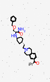 CC(C)C(=O)c1ccc2c(c1)CCN(CC[C@H]1CC[C@H](N[C@@H](COCc3ccccc3)C(N)=O)CC1)CC2